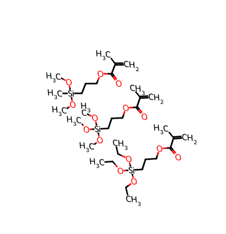 C=C(C)C(=O)OCCC[Si](C)(OC)OC.C=C(C)C(=O)OCCC[Si](OC)(OC)OC.C=C(C)C(=O)OCCC[Si](OCC)(OCC)OCC